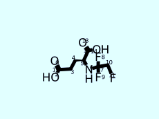 O=C(O)CC[C@H](NC(F)(F)CF)C(=O)O